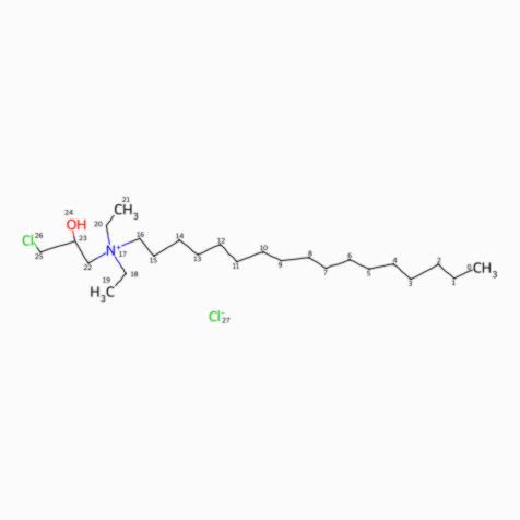 CCCCCCCCCCCCCCCCC[N+](CC)(CC)CC(O)CCl.[Cl-]